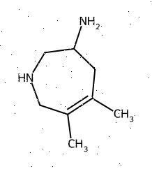 CC1=C(C)CC(N)CNC1